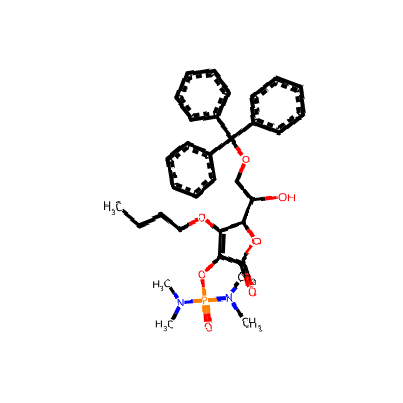 CCCCOC1=C(OP(=O)(N(C)C)N(C)C)C(=O)OC1C(O)COC(c1ccccc1)(c1ccccc1)c1ccccc1